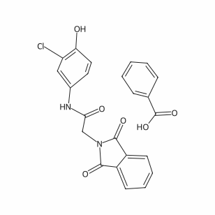 O=C(CN1C(=O)c2ccccc2C1=O)Nc1ccc(O)c(Cl)c1.O=C(O)c1ccccc1